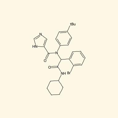 CC(C)(C)c1ccc(N(C(=O)c2cnc[nH]2)C(C(=O)NC2CCCCC2)c2ccccc2Br)cc1